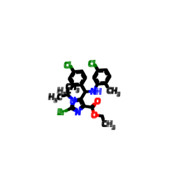 CCOC(=O)c1nc(Br)n(C(C)C)c1C(Nc1cc(Cl)ccc1C)c1ccc(Cl)cc1C